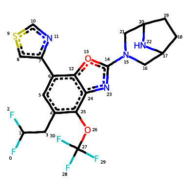 FC(F)Cc1cc(-c2cscn2)c2oc(N3CC4CCC(C3)N4)nc2c1OC(F)(F)F